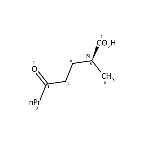 CCCC(=O)CC[C@H](C)C(=O)O